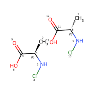 C[C@@H](NCl)C(=O)O.C[C@H](NCl)C(=O)O